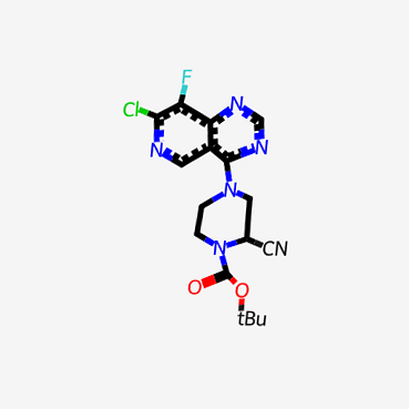 CC(C)(C)OC(=O)N1CCN(c2ncnc3c(F)c(Cl)ncc23)CC1C#N